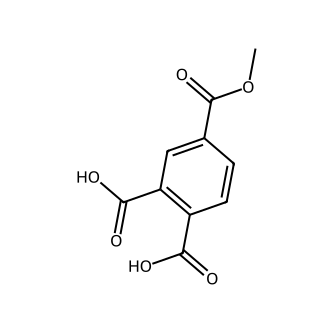 COC(=O)c1ccc(C(=O)O)c(C(=O)O)c1